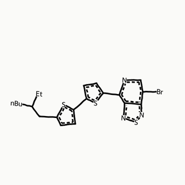 CCCCC(CC)Cc1ccc(-c2ccc(-c3ncc(Br)c4nsnc34)s2)s1